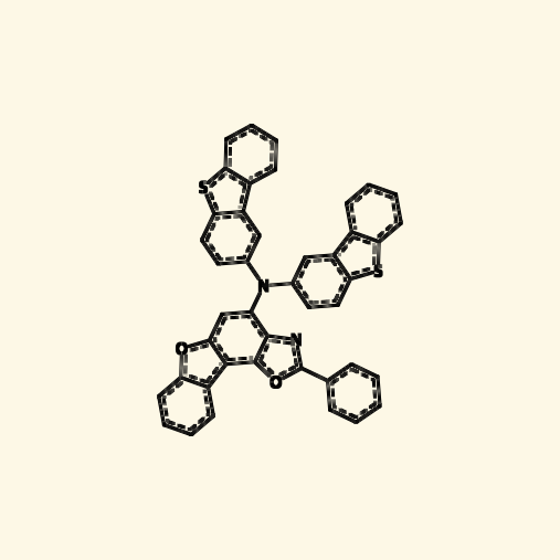 c1ccc(-c2nc3c(N(c4ccc5sc6ccccc6c5c4)c4ccc5sc6ccccc6c5c4)cc4oc5ccccc5c4c3o2)cc1